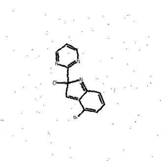 ClC1(c2ncccn2)C=c2c(Br)cccc2=N1